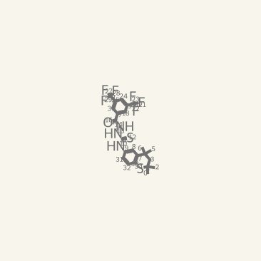 CC1(C)CC(C)(C)c2cc(NC(=S)NNC(=O)c3cc(C(F)(F)F)cc(C(F)(F)F)c3)ccc2S1